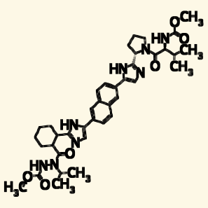 COC(=O)N[C@H](C(=O)N1CCC[C@H]1c1ncc(-c2ccc3cc(-c4cnc(C5CCCCC5C(=O)N(NC(=O)OC)C(C)C)[nH]4)ccc3c2)[nH]1)C(C)C